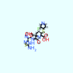 Nc1nc(/C(=N/O)C(=O)N[C@@H]2C(=O)N3C(C(=O)O)=C(Sc4ccncc4F)CC[C@H]23)ns1